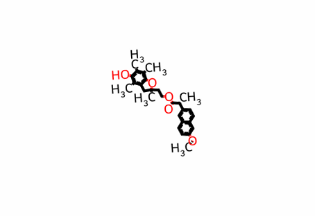 COc1ccc2cc(C(C)C(=O)OCCC3(C)Cc4c(C)c(O)c(C)c(C)c4O3)ccc2c1